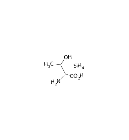 CC(O)C(N)C(=O)O.[SiH4]